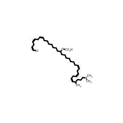 CC/C=C\C/C=C\C/C=C\CCCCCCCC(CCCCCCC/C=C\C/C=C\C/C=C\C(C)CCCN(C)C)OC(=O)O